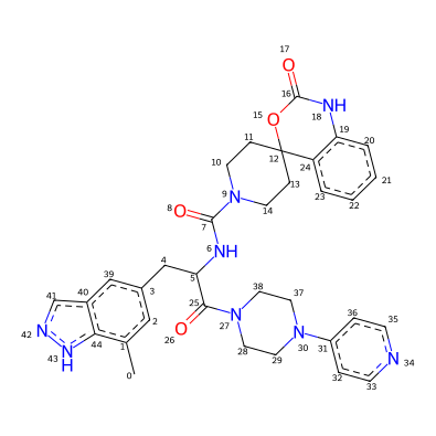 Cc1cc(CC(NC(=O)N2CCC3(CC2)OC(=O)Nc2ccccc23)C(=O)N2CCN(c3ccncc3)CC2)cc2cn[nH]c12